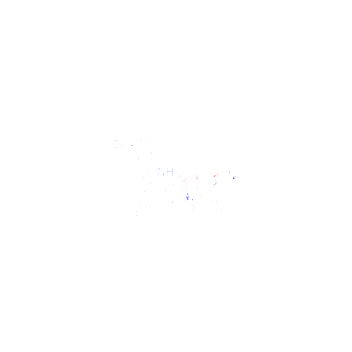 CCc1cccc(CNC[C@@H](O)[C@H](Cc2cc(F)cc(F)c2)NC(=O)c2cccc3nc(C)oc23)c1